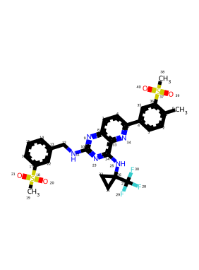 Cc1ccc(-c2ccc3nc(NCc4cccc(S(C)(=O)=O)c4)nc(NC4(C(F)(F)F)CC4)c3n2)cc1S(C)(=O)=O